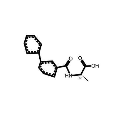 C[C@H](NC(=O)c1cccc(-c2ccccc2)c1)C(=O)O